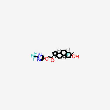 C[C@@]1(O)CC[C@@]2(F)[C@H](CC[C@H]3[C@@H]4CC[C@H](C(=O)COc5cnc(C(F)(F)F)nc5)[C@@]4(C)CC[C@@H]32)C1